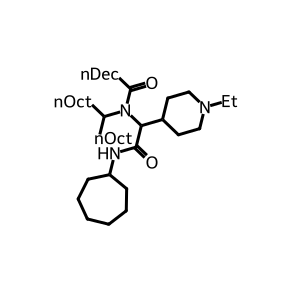 CCCCCCCCCCC(=O)N(C(CCCCCCCC)CCCCCCCC)C(C(=O)NC1CCCCCC1)C1CCN(CC)CC1